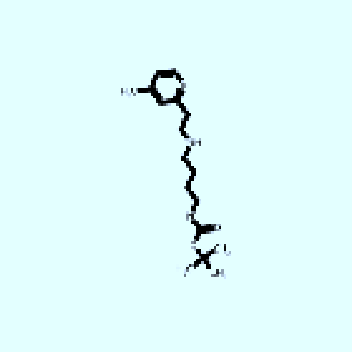 Cc1ccnc(CCNCCCCNC(=O)OC(C)(C)C)c1